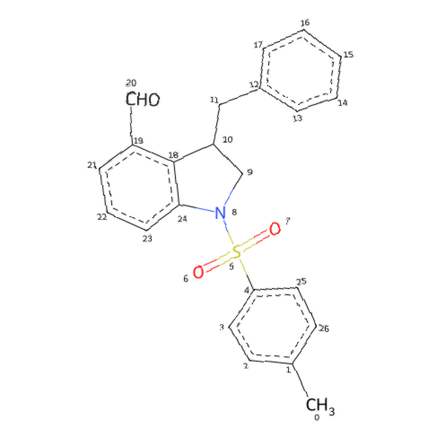 Cc1ccc(S(=O)(=O)N2CC(Cc3ccccc3)c3c(C=O)cccc32)cc1